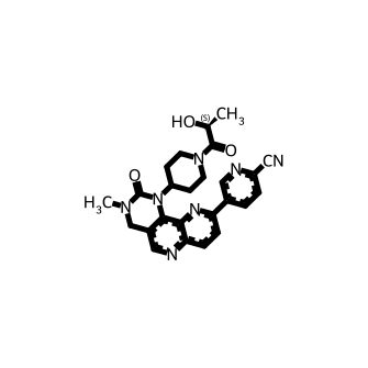 C[C@H](O)C(=O)N1CCC(N2C(=O)N(C)Cc3cnc4ccc(-c5ccc(C#N)nc5)nc4c32)CC1